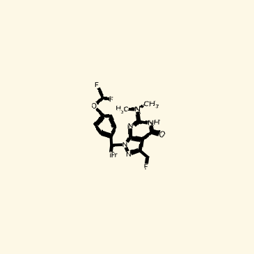 CC(C)C(c1ccc(OC(F)F)cc1)n1nc(CF)c2c(=O)[nH]c(N(C)C)nc21